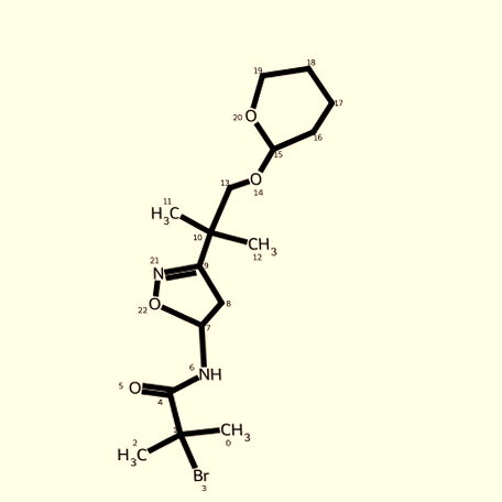 CC(C)(Br)C(=O)NC1CC(C(C)(C)COC2CCCCO2)=NO1